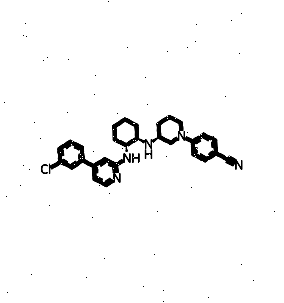 N#Cc1ccc(N2CCC[C@H](N[C@@H]3CCCC[C@H]3Nc3cc(-c4cccc(Cl)c4)ccn3)C2)cc1